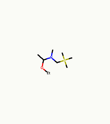 CCOC(C)N(C)CS(C)(C)C